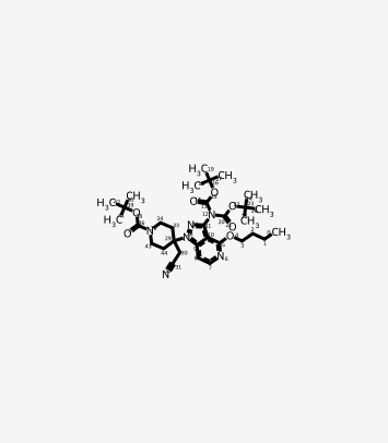 CCCCOc1nccc2c1c(N(C(=O)OC(C)(C)C)C(=O)OC(C)(C)C)nn2C1(CC#N)CCN(C(=O)OC(C)(C)C)CC1